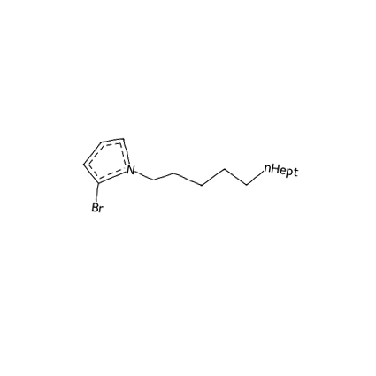 CCCCCCCCCCCCn1cccc1Br